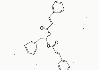 O=C(/C=C/c1ccccc1)OC(Cc1ccccc1)OC(=O)/C=C/c1ccccc1